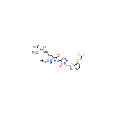 CN(C)C(=O)C=CCCC(NC(=O)O)C(=O)Nc1cccn(Cc2nc3cccc(OCC(F)F)c3s2)c1=O